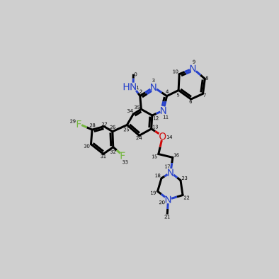 CNc1nc(-c2cccnc2)nc2c(OCCN3CCN(C)CC3)cc(-c3cc(F)ccc3F)cc12